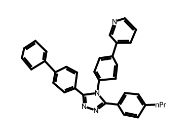 CCCc1ccc(-c2nnc(-c3ccc(-c4ccccc4)cc3)n2-c2ccc(-c3cccnc3)cc2)cc1